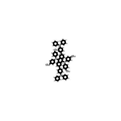 CC(C)(C)c1ccc(N(c2ccc(C(C)(C)C)cc2)c2c3ccc(-c4ccc(N(c5ccccc5)c5ccccc5)cc4)cc3c(N(c3ccc(C(C)(C)C)cc3)c3ccc(C(C)(C)C)cc3)c3ccc(-c4ccc(N(c5ccccc5)c5ccccc5)cc4)cc23)cc1